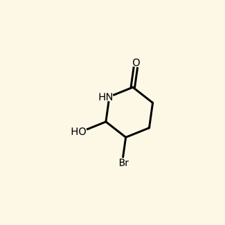 O=C1CCC(Br)C(O)N1